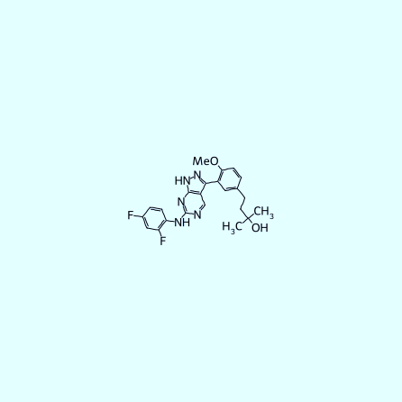 COc1ccc(CCC(C)(C)O)cc1-c1n[nH]c2nc(Nc3ccc(F)cc3F)ncc12